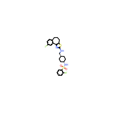 O=S(=O)(N[C@H]1CC[C@H](CNc2nc3c(s2)CCCc2ccc(F)cc2-3)CC1)c1ccccc1F